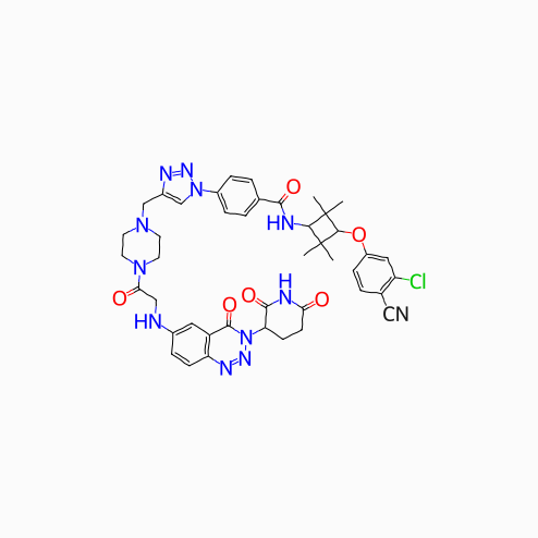 CC1(C)C(NC(=O)c2ccc(-n3cc(CN4CCN(C(=O)CNc5ccc6nnn(C7CCC(=O)NC7=O)c(=O)c6c5)CC4)nn3)cc2)C(C)(C)C1Oc1ccc(C#N)c(Cl)c1